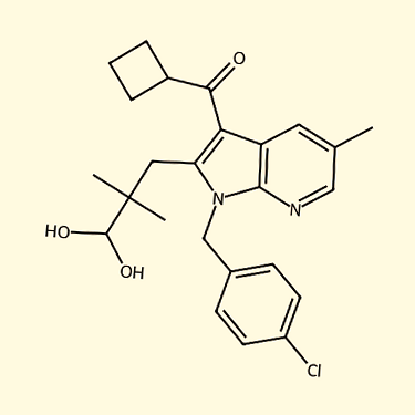 Cc1cnc2c(c1)c(C(=O)C1CCC1)c(CC(C)(C)C(O)O)n2Cc1ccc(Cl)cc1